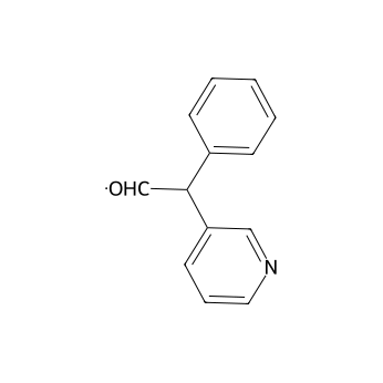 O=[C]C(c1ccccc1)c1cccnc1